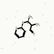 CC(C=O)[C@H](C)O[C@H]1C=CC=CO1